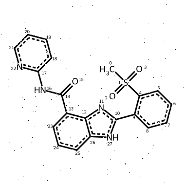 CS(=O)(=O)c1ccccc1-c1nc2c(C(=O)Nc3ccccn3)cccc2[nH]1